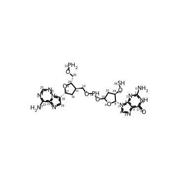 Nc1nc2c(ncn2[C@@H]2OC(OPOC[C@H]3C[C@H](c4cnc5c(N)ncnn45)O[C@@H]3COP)C[C@H]2OS)c(=O)[nH]1